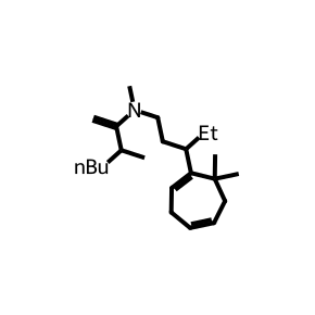 C=C(C(C)CCCC)N(C)CCC(CC)C1=CCC=CCC1(C)C